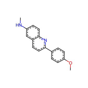 CNc1ccc2nc(-c3ccc(OC)cc3)ccc2c1